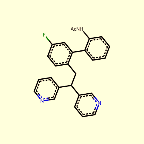 CC(=O)Nc1ccccc1-c1cc(F)ccc1CC(c1cccnc1)c1cccnc1